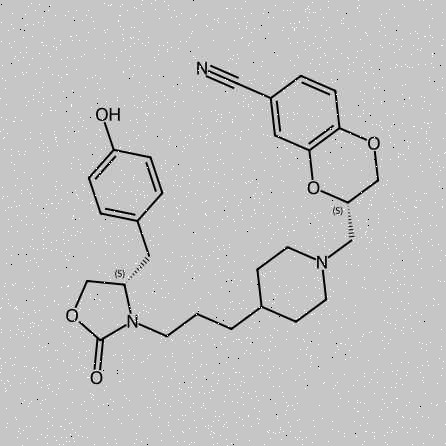 N#Cc1ccc2c(c1)O[C@@H](CN1CCC(CCCN3C(=O)OC[C@@H]3Cc3ccc(O)cc3)CC1)CO2